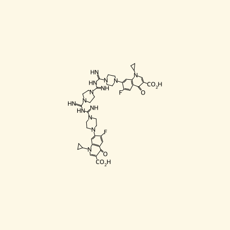 N=C(NC(=N)N1CCN(c2cc3c(cc2F)c(=O)c(C(=O)O)cn3C2CC2)CC1)N1CCN(C(=N)NC(=N)N2CCN(c3cc4c(cc3F)c(=O)c(C(=O)O)cn4C3CC3)CC2)CC1